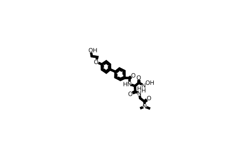 CN(C)C(=O)CNC(=O)C(NC(=O)c1ccc(-c2ccc(OCCO)cc2)cc1)C(=O)NO